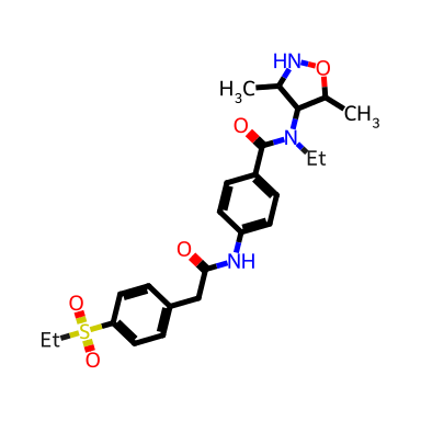 CCN(C(=O)c1ccc(NC(=O)Cc2ccc(S(=O)(=O)CC)cc2)cc1)C1C(C)NOC1C